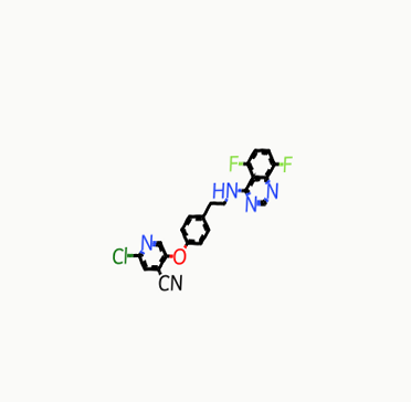 N#Cc1cc(Cl)ncc1Oc1ccc(CCNc2ncnc3c(F)ccc(F)c23)cc1